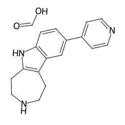 O=CO.c1cc(-c2ccc3[nH]c4c(c3c2)CCNCC4)ccn1